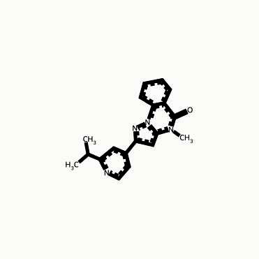 CC(C)c1cc(-c2cc3n(C)c(=O)c4ccccc4n3n2)ccn1